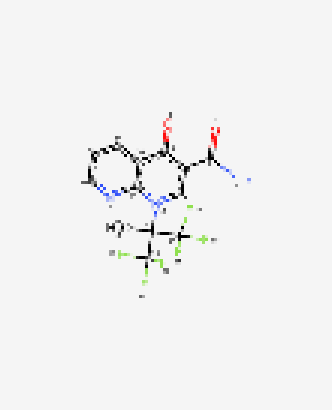 CC(n1cc(C(N)=O)c(=O)c2cccnc21)(C(F)(F)F)C(F)(F)F